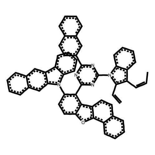 C=Cc1c(/C=C\C)c2ccccc2n1-c1nc(-c2ccc3ccccc3c2)nc(-c2c(-n3c4ccccc4c4cc5ccccc5cc43)ccc3oc4c5ccccc5ccc4c23)n1